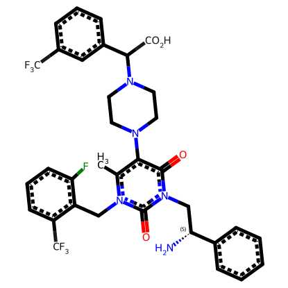 Cc1c(N2CCN(C(C(=O)O)c3cccc(C(F)(F)F)c3)CC2)c(=O)n(C[C@@H](N)c2ccccc2)c(=O)n1Cc1c(F)cccc1C(F)(F)F